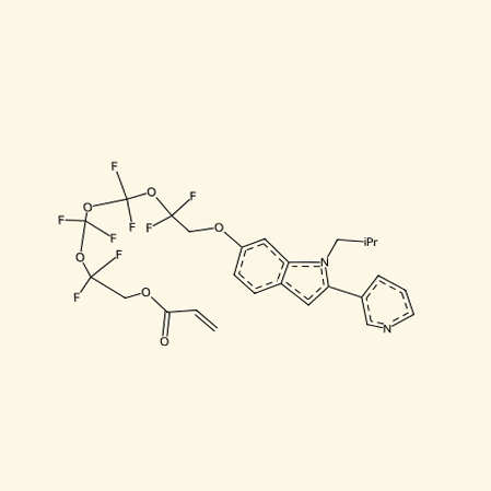 C=CC(=O)OCC(F)(F)OC(F)(F)OC(F)(F)OC(F)(F)COc1ccc2cc(-c3cccnc3)n(CC(C)C)c2c1